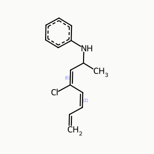 C=C/C=C\C(Cl)=C/C(C)Nc1ccccc1